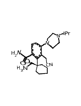 CC(C)N1CCN(c2ccc(C(N)=O)c(C3(C(N)=O)CCCCC3)c2CC#N)CC1